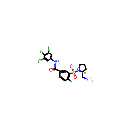 NC[C@@H]1CCCN1S(=O)(=O)c1cc(C(=O)Nc2cc(F)c(F)c(F)c2)ccc1F